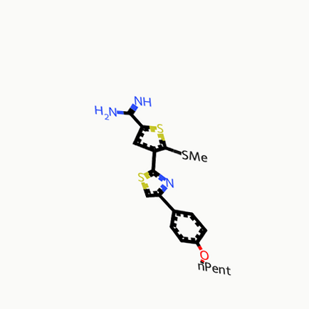 CCCCCOc1ccc(-c2csc(-c3cc(C(=N)N)sc3SC)n2)cc1